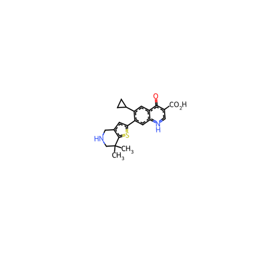 CC1(C)CNCc2cc(-c3cc4[nH]cc(C(=O)O)c(=O)c4cc3C3CC3)sc21